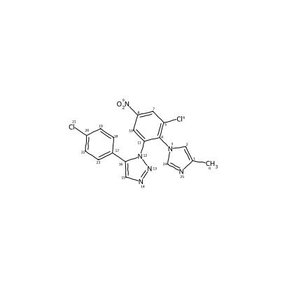 Cc1cn(-c2c(Cl)cc([N+](=O)[O-])cc2-n2nncc2-c2ccc(Cl)cc2)cn1